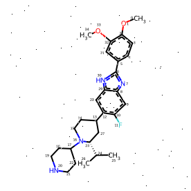 COc1ccc(-c2nc3cc(F)c(C4CCN(C5CCNCC5)[C@@H](C(C)C)C4)cc3[nH]2)cc1OC